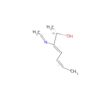 C=N/C(=C\C=C/C)[C@H](C)O